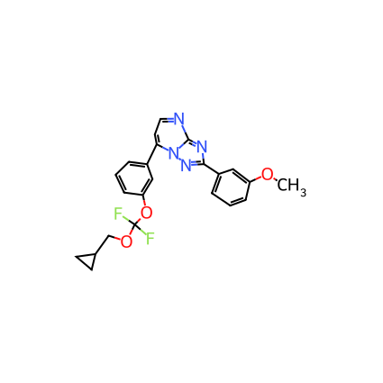 COc1cccc(-c2nc3nccc(-c4cccc(OC(F)(F)OCC5CC5)c4)n3n2)c1